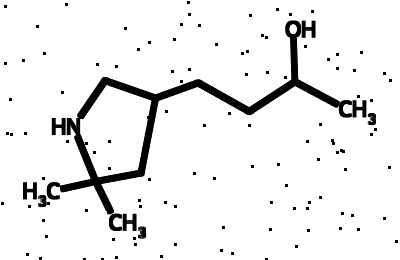 CC(O)CCC1CNC(C)(C)C1